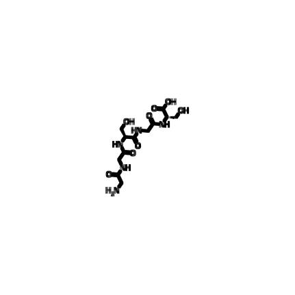 NCC(=O)NCC(=O)N[C@@H](CO)C(=O)NCC(=O)N[C@@H](CO)C(=O)O